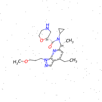 CCc1cc([C@@H](C)N(C(=O)[C@H]2CNCCO2)C2CC2)nc2c1cnn2CCCOC